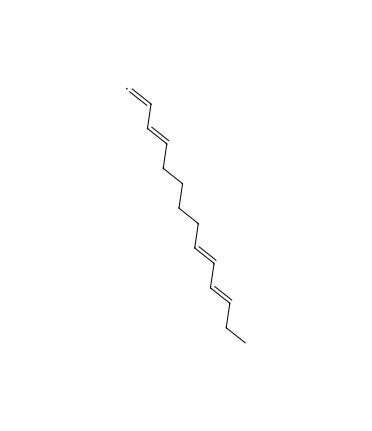 [CH]=CC=CCCCCC=CC=CCC